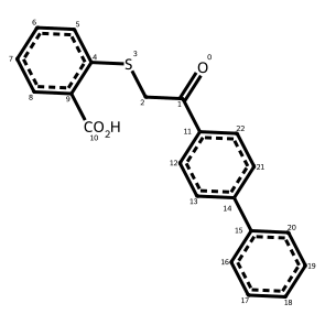 O=C(CSc1ccccc1C(=O)O)c1ccc(-c2ccccc2)cc1